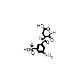 Nc1cc(S(=O)(=O)O)cc(S(=O)(=O)C(CC(=O)O)C(=O)O)c1